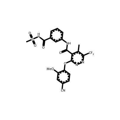 COc1cc(C#N)ccc1Oc1nnc(C(F)(F)F)c(C)c1C(=O)Nc1cccc(C(=O)NS(C)(=O)=O)c1